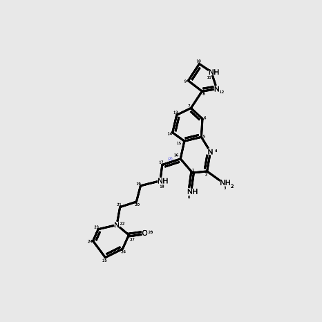 N=C1C(N)=Nc2cc(-c3cc[nH]n3)ccc2/C1=C/NCCCn1ccccc1=O